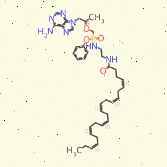 CC/C=C\C/C=C\C/C=C\C/C=C\C/C=C\C/C=C\CCC(=O)NCCNP(=O)(CO[C@H](C)Cn1cnc2c(N)ncnc21)Oc1ccccc1